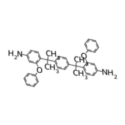 CC(C)(c1ccc(C(C)(C)c2ccc(N)cc2Oc2ccccc2)cc1)c1ccc(N)cc1Oc1ccccc1